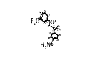 CC1(C)[C@H](CNc2ccnc(C(F)(F)F)c2)[C@H]1c1ccc(SN)cc1